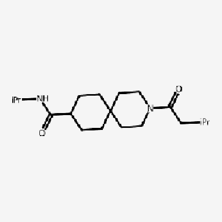 CC(C)CC(=O)N1CCC2(CCC(C(=O)NC(C)C)CC2)CC1